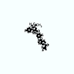 CC(C)n1cc(C(=O)Nc2ccc(Oc3ncnc4c3CCN(C(=O)C3CC3(F)F)C4)c(F)c2)c(=O)n(-c2ccc(F)cc2)c1=O